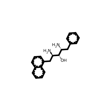 N[C@H](Cc1ccccc1)[C@H](O)[C@H](N)Cc1cccc2ccccc12